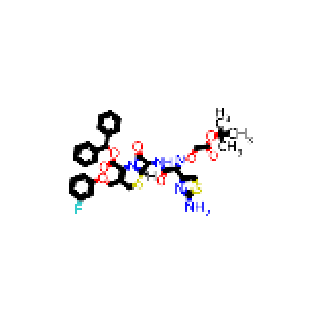 CC(C)(C)OC(=O)CON=C(C(=O)NC1C(=O)N2C(C(=O)OC(c3ccccc3)c3ccccc3)=C(COc3cccc(F)c3)CS[C@@H]12)c1csc(N)n1